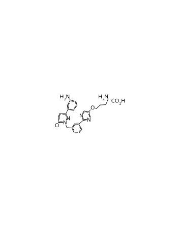 Nc1cccc(-c2ccc(=O)n(Cc3cccc(-c4ncc(OCCC[C@H](N)C(=O)O)cn4)c3)n2)c1